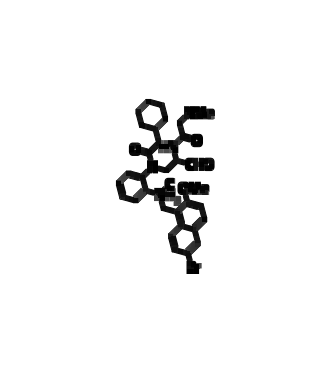 CNCC(=O)NC(C=O)CN(C(=O)CC1CCCCC1)c1ccccc1N(C)Cc1c(OC)ccc2cc(Br)ccc12